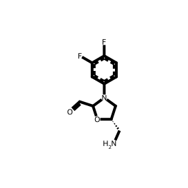 NC[C@H]1CN(c2ccc(F)c(F)c2)C(C=O)O1